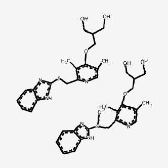 Cc1cnc(CSc2nc3ccccc3[nH]2)c(C)c1OCC(CO)CO.Cc1cnc(C[S+]([O-])c2nc3ccccc3[nH]2)c(C)c1OCC(CO)CO